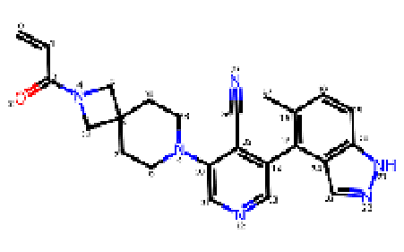 C=CC(=O)N1CC2(CCN(c3cncc(-c4c(C)ccc5[nH]ncc45)c3C#N)CC2)C1